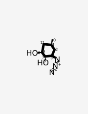 C[C@H]1CC(N=[N+]=[N-])[C@H](O)[C@@H](O)C1